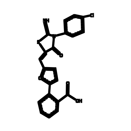 N=C1S/C(=C/c2ccc(-c3ccccc3C(=O)O)o2)C(=O)N1c1ccc(Cl)cc1